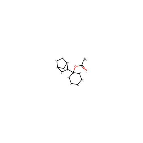 CCC(C)C(=O)OC1(C2CC3CCC2C3)CCCCC1